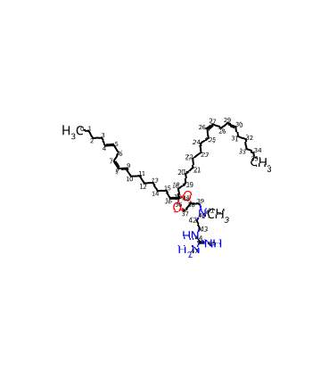 CCCC/C=C/C/C=C\CCCCCCCCC1(CCCCCCCC/C=C\C/C=C\CCCCC)OCC(CN(C)CCNC(=N)N)O1